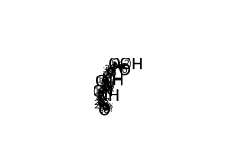 O=C(O)CNC(=O)c1ccc(CNC(=O)c2cc(C(=O)NCc3ccc4c(c3)CCO4)ncn2)cc1